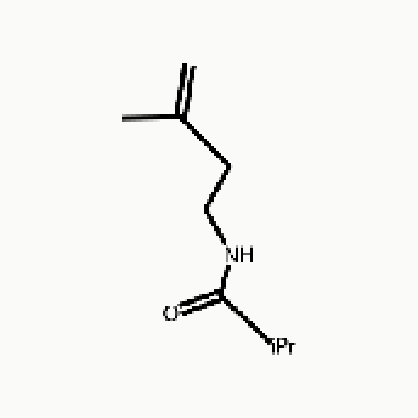 C=C(C)CCNC(=O)C(C)C